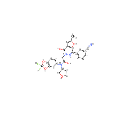 Cc1cc2c(=O)n(CC(=O)N(c3ccc4c(c3)OC(F)(F)O4)C3CCOC3)nc(-c3cccc(C#N)c3)c2o1